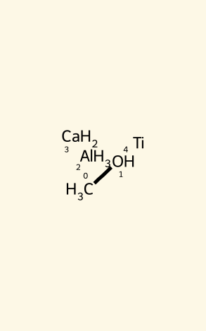 CO.[AlH3].[CaH2].[Ti]